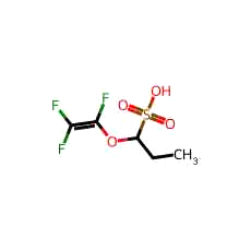 CCC(OC(F)=C(F)F)S(=O)(=O)O